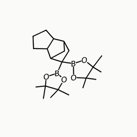 CC1(C)OB(C2(B3OC(C)(C)C(C)(C)O3)CC3CC2C2CCCC32)OC1(C)C